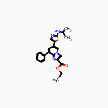 CCOC(=O)c1cn2cc(-c3cnc(NC(C)C)s3)cc(-c3ccccc3)c2n1